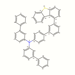 c1ccc(-c2cccc(N(c3ccc(-c4cccc(-c5cccc6sc7ccccc7c56)c4)cc3)c3cccc(-c4ccccc4)c3)c2)cc1